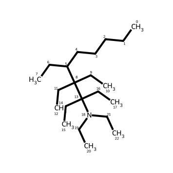 CCCCCC(CC)C(CC)(CC)C(CC)(CC)N(CC)CC